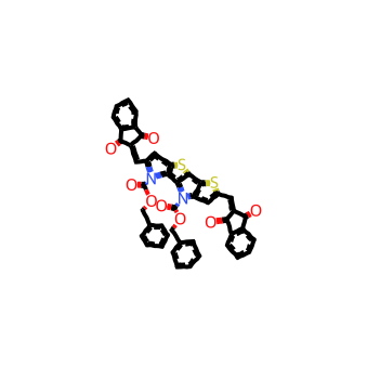 O=C1C(=Cc2cc3c(s2)c2sc4cc(C=C5C(=O)c6ccccc6C5=O)n(C(=O)OCc5ccccc5)c4c2n3C(=O)OCc2ccccc2)C(=O)c2ccccc21